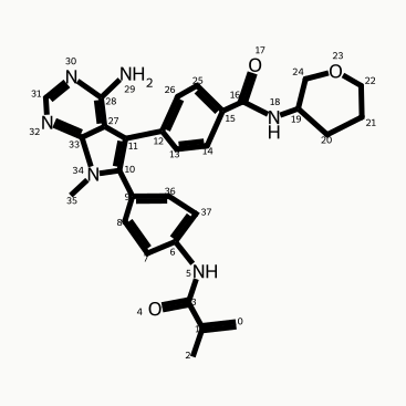 C=C(C)C(=O)Nc1ccc(-c2c(-c3ccc(C(=O)NC4CCCOC4)cc3)c3c(N)ncnc3n2C)cc1